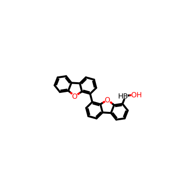 OBc1cccc2c1oc1c(-c3cccc4c3oc3ccccc34)cccc12